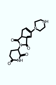 O=C1CCC(N2C(=O)C3=CC(N4CCNCC4)=CCC3C2=O)C(=O)N1